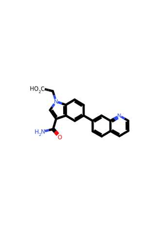 NC(=O)c1cn(CC(=O)O)c2ccc(-c3ccc4cccnc4c3)cc12